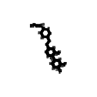 CCCCCC1CCC(CCc2ccc(-c3ccc(F)c(F)c3)c(F)c2)CC1